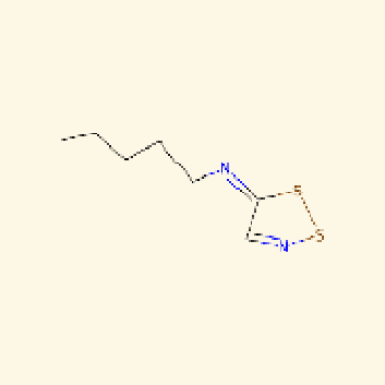 CCCCC/N=c1\cnss1